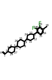 C=CC1C=CC(C2CCC(C3CCC(c4ccc(C)c(F)c4F)CC3)CC2)CC1